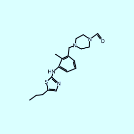 CCCc1cnc(Nc2cccc(CN3CCN(C=O)CC3)c2C)s1